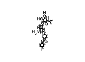 Nc1nc(CC2CCN(C(=O)Oc3ccc(F)cc3)CC2)nc2c1ncn2CO[C@H](C(=O)NC1CC1)C(O)CO